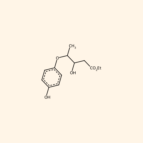 CCOC(=O)CC(O)C(C)Oc1ccc(O)cc1